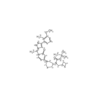 COc1cncc(-c2cn(C(C)n3ccc(N4CCC[C@@H](N(CC5CCC5)C(=O)OC(C)(C)C)C4)cc3=O)nn2)c1C